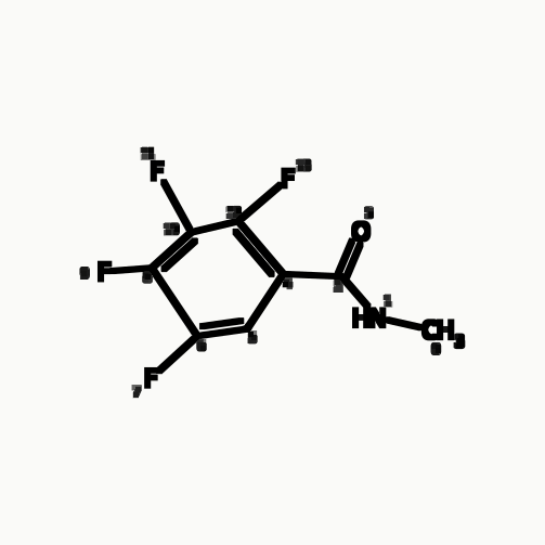 CNC(=O)c1cc(F)c(F)c(F)c1F